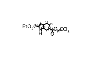 CCOC(=O)c1cc2c([nH]1)CN(C(=O)OCC(Cl)(Cl)Cl)CC2